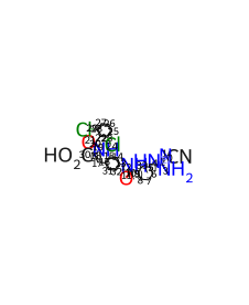 N#C/N=C(\N)N[C@H]1CCC[C@H](C(=O)Nc2ccc(C[C@H](NC(=O)c3c(Cl)cccc3Cl)C(=O)O)cc2)C1